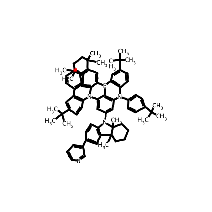 CC(C)(C)c1ccc(N2c3ccc(C(C)(C)C)cc3B3c4cc5c(cc4N(c4ccc(C(C)(C)C)cc4-c4ccccc4)c4cc(N6c7ccc(-c8cccnc8)cc7C7(C)CCCCC67C)cc2c43)C(C)(C)CCC5(C)C)cc1